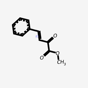 COC(=O)C(=O)/C=C/c1ccccc1